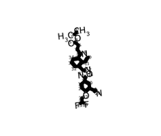 CC(C)OC(=O)CCc1nccc2c(-c3noc(-c4ccc(OCC(F)F)c(C#N)c4)n3)cccc12